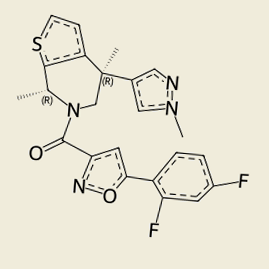 C[C@@H]1c2sccc2[C@@](C)(c2cnn(C)c2)CN1C(=O)c1cc(-c2ccc(F)cc2F)on1